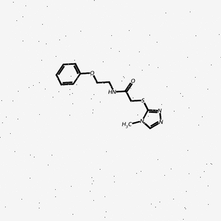 Cn1cnnc1SCC(=O)NCCOc1ccccc1